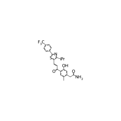 Cc1cc(C(=O)C=Cc2sc(-c3ccc(C(F)(F)F)cc3)nc2C(C)C)c(O)cc1CC(N)=O